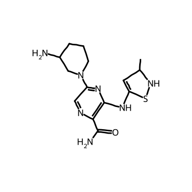 CC1C=C(Nc2nc(N3CCCC(N)C3)cnc2C(N)=O)SN1